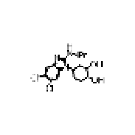 CC(C)Nc1nc2cc(Cl)c(Cl)cc2n1C1CCC(O)C(O)C1